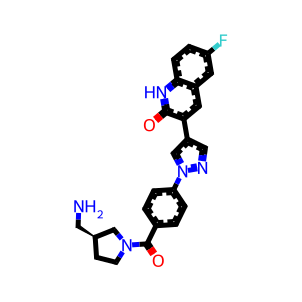 NC[C@@H]1CCN(C(=O)c2ccc(-n3cc(-c4cc5cc(F)ccc5[nH]c4=O)cn3)cc2)C1